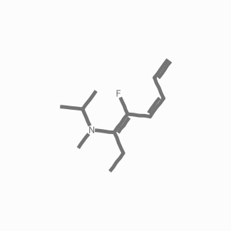 C=C/C=C\C(F)=C(/CC)N(C)C(C)C